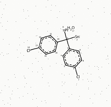 CCC[C]([Sn])(c1ccc(Cl)cc1)c1ccc(Cl)cc1.O